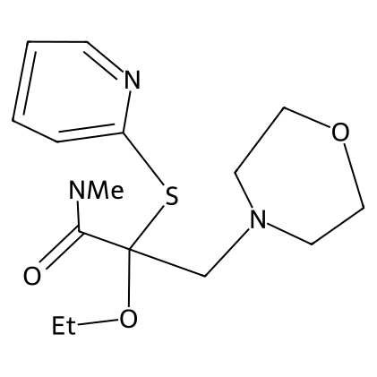 CCOC(CN1CCOCC1)(Sc1ccccn1)C(=O)NC